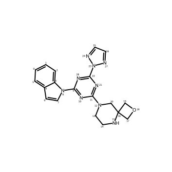 c1ccc2c(c1)ccn2-c1nc(N2CCNC3(COC3)C2)nc(-n2nccn2)n1